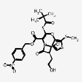 CSc1sccc1OC(SC(=O)C(C)(C)C)=C(C(=O)OCc1ccc([N+](=O)[O-])cc1)N1C(=O)[C@H](CCO)[C@@H]1Cl